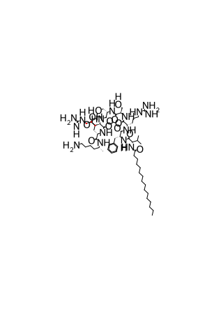 CCCCCCCCCCCCCCCC(=O)N[C@H](C(=O)N[C@H](Cc1ccccc1)C(=O)N[C@@H](CCCNC(=N)N)C(=O)N[C@H](CO)C(=O)N[C@@H](CO)C(=O)N[C@H](CCCNC(=N)N)C(=O)N[C@@H](CCC(=O)O)C(=O)N[C@H](C)CCCCN)C(C)C